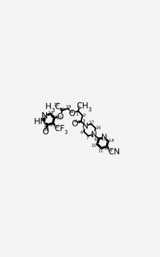 CC(CC(=O)N1CCN(c2ccc(C#N)cn2)CC1)OCC(C)Oc1cn[nH]c(=O)c1C(F)(F)F